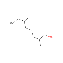 CC(C)CC(C)CCCC(C)C[O]